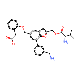 CC(C)[C@H](N)C(=O)OCc1cc2cc(COc3ccccc3CC(=O)O)cc(-c3cccc(CN)c3)c2o1